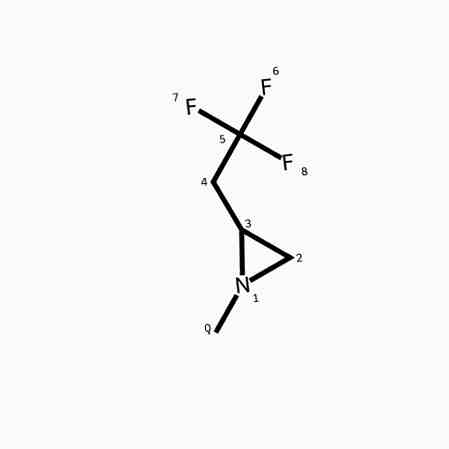 [CH2]N1CC1CC(F)(F)F